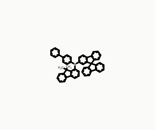 CC1(C)c2ccccc2-c2cccc(N(c3ccc(-c4ccccc4)cc3)c3ccc4c(c3)C3(c5ccccc5-c5ccccc53)c3ccccc3-4)c21